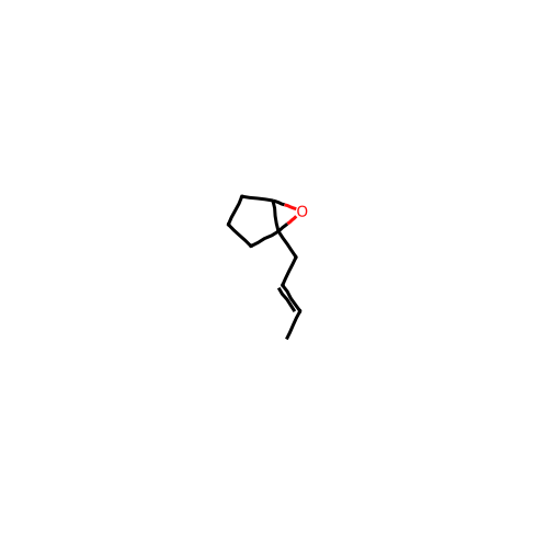 CC=CCC12CCCC1O2